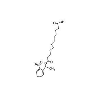 CC(OC(=O)CCCCCCCCCCC(=O)O)c1ccccc1[N+](=O)[O-]